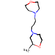 CC1CN(CCN2CCOCC2)CCO1